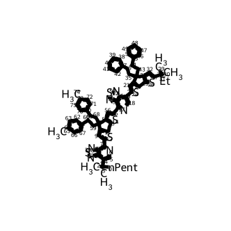 CCCCCC(C)(C)c1cnc(-c2cc3c(s2)-c2sc(-c4ncc(-c5cc6c(s5)-c5sc(C(C)(C)CC)cc5C6(CCc5ccccc5)CCc5ccccc5)c5nsnc45)cc2C3(CCc2ccc(C)cc2)CCc2ccc(C)cc2)c2nsnc12